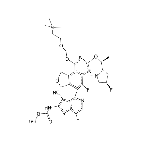 C[C@H](Oc1nc(OCOCC[Si](C)(C)C)c2c3c(c(-c4ncc(F)c5sc(NC(=O)OC(C)(C)C)c(C#N)c45)c(F)c2n1)COC3)[C@@H]1C[C@@H](F)CN1C